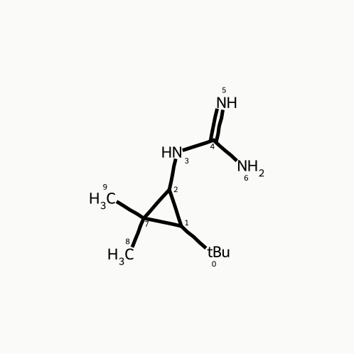 CC(C)(C)C1C(NC(=N)N)C1(C)C